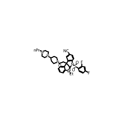 CCCN1CCN(C2CCN(C(=O)CC3(c4ccccc4OCC)C(=O)N(S(=O)(=O)c4ccc(F)cc4F)c4ccc(C#N)cc43)CC2)CC1